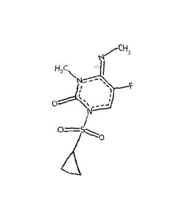 C/N=c1\c(F)cn(S(=O)(=O)C2CC2)c(=O)n1C